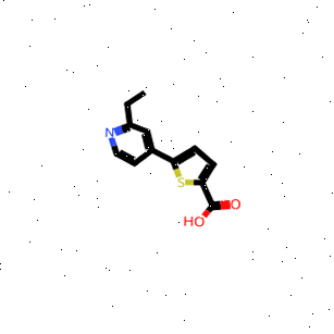 CCc1cc(-c2ccc(C(=O)O)s2)ccn1